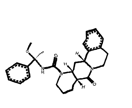 CO[C@@](C)(NC(=O)N1CCC[C@H]2C(=O)N3CCc4ccccc4[C@H]3C[C@H]21)c1ccccc1